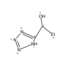 CCC(O)c1nnn[nH]1